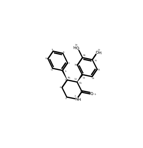 O=C1NCC[C@@H](c2ccccc2)[C@H]1c1ccc(O)c(O)c1